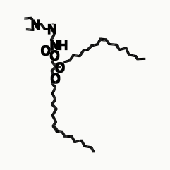 CCCCCCCC/C=C\CCCCCCCCOCC(COC(=O)NCCN(C)CCN(CC)CC)OCCCCCCCC/C=C\CCCCCCCC